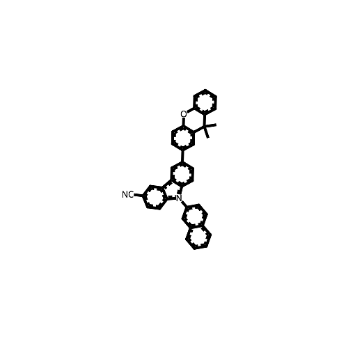 CC1(C)c2ccccc2Oc2ccc(-c3ccc4c(c3)c3cc(C#N)ccc3n4-c3ccc4ccccc4c3)cc21